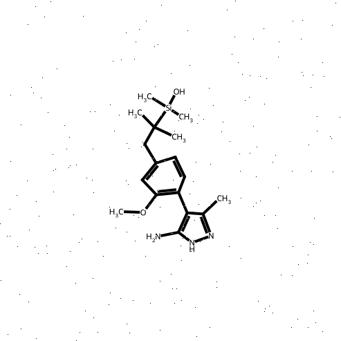 COc1cc(CC(C)(C)[Si](C)(C)O)ccc1-c1c(C)n[nH]c1N